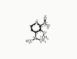 COc1c(N(C)C)ccnc1[N+](=O)[O-]